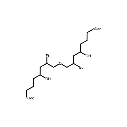 CCCCCCCCCCCCCC(O)CC(CC)COCC(CC)CC(O)CCCCCCCCCCCCC